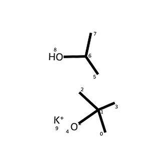 CC(C)(C)[O-].CC(C)O.[K+]